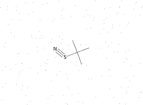 CC(C)(C)S#N